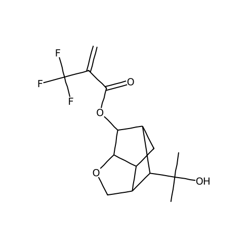 C=C(C(=O)OC1C2CC3C(COC31)C2C(C)(C)O)C(F)(F)F